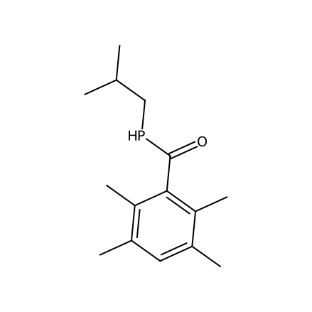 Cc1cc(C)c(C)c(C(=O)PCC(C)C)c1C